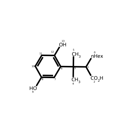 CCCCCCC(C(=O)O)C(C)(C)c1cc(O)ccc1O